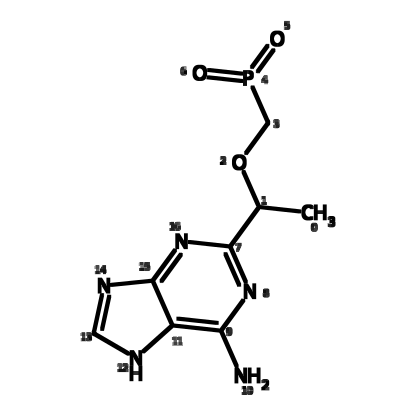 CC(OCP(=O)=O)c1nc(N)c2[nH]cnc2n1